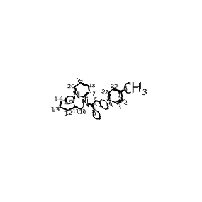 Cc1ccc(OCC(=O)N(CC2CCCO2)c2ccccn2)cc1